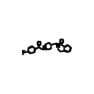 O=C(CN1CCC(CN2CCc3ccccc3C2=O)CC1)c1ccc(F)cc1